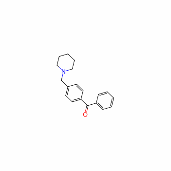 O=C(c1ccccc1)c1ccc(CN2CCCCC2)cc1